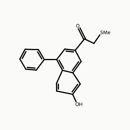 CSCC(=O)c1cc(-c2ccccc2)c2ccc(O)cc2c1